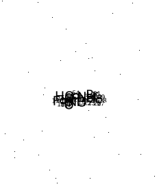 O=C(Nc1ccc(O)c(NS(=O)(=O)c2ccc(F)cc2)c1)c1ccc(-c2ccccc2Br)cc1